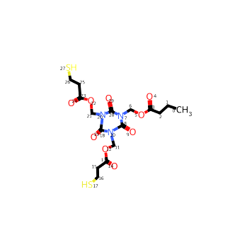 CCCC(=O)OCn1c(=O)n(COC(=O)CCS)c(=O)n(COC(=O)CCS)c1=O